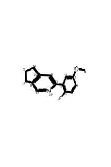 COc1ccc(F)c(-c2cc3c(cn2)CCC3)c1